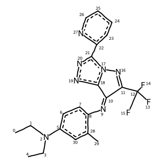 CCN(CC)c1ccc(/N=C2/C(C(F)(F)F)=Nn3c2nnc3-c2ccccn2)c(C)c1